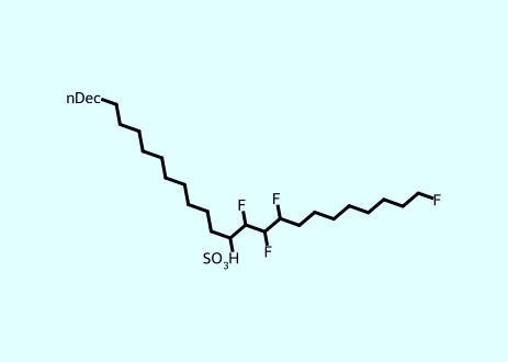 CCCCCCCCCCCCCCCCCCCCC(C(F)C(F)C(F)CCCCCCCCF)S(=O)(=O)O